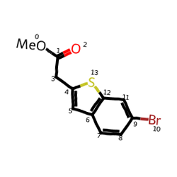 COC(=O)Cc1cc2ccc(Br)cc2s1